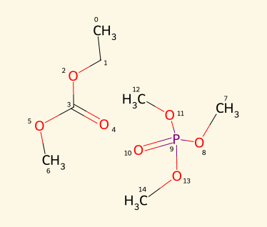 CCOC(=O)OC.COP(=O)(OC)OC